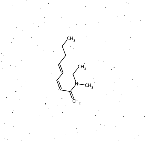 C=C(/C=C\C=C\CCC)N(C)CC